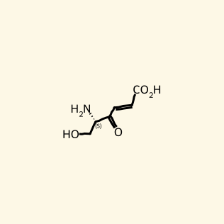 N[C@@H](CO)C(=O)C=CC(=O)O